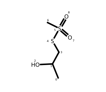 CC(O)CSS(C)(=O)=O